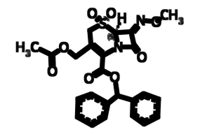 CON=C1C(=O)N2C(C(=O)OC(c3ccccc3)c3ccccc3)=C(COC(C)=O)CS(=O)(=O)[C@@H]12